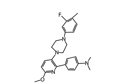 COc1ccc(N2CCN(c3ccc(C)c(F)c3)CC2)c(-c2ccc(N(C)C)cc2)n1